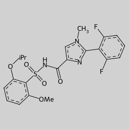 COc1cccc(OC(C)C)c1S(=O)(=O)NC(=O)c1cn(C)c(-c2c(F)cccc2F)n1